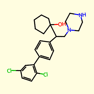 OC1(C(CN2CCNCC2)c2ccc(-c3cc(Cl)ccc3Cl)cc2)CCCCC1